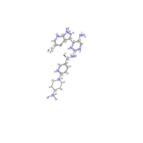 C[C@@H](Nc1ncc(N)c(-c2c[nH]c3ncc(C(F)(F)F)cc23)n1)c1ccc(N2CCC(N(C)C)CC2)nc1